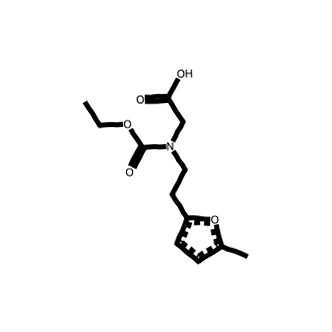 CCOC(=O)N(CCc1ccc(C)o1)CC(=O)O